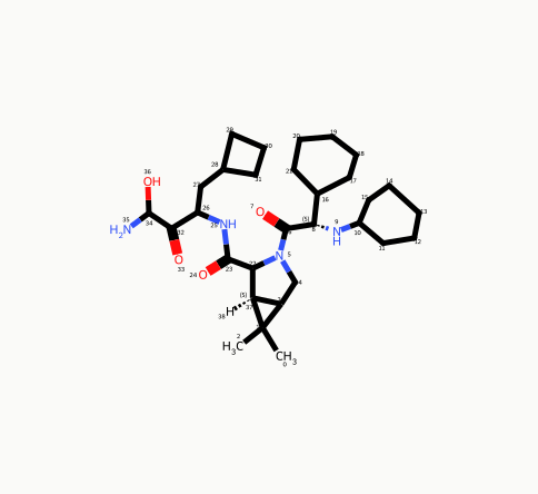 CC1(C)C2CN(C(=O)[C@@H](NC3CCCCC3)C3CCCCC3)C(C(=O)NC(CC3CCC3)C(=O)C(N)O)[C@@H]21